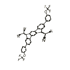 N#CC(C#N)=C1c2cc(-c3cccc(OC(F)(F)F)c3)ccc2-c2cc3c(cc21)-c1ccc(-c2cccc(OC(F)(F)F)c2)cc1C3=C(C#N)C#N